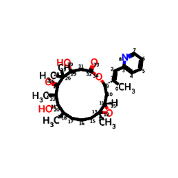 C/C(=C\c1ccccn1)[C@@H]1C[C@@H]2O[C@]2(C)CCCC(C)[C@H](O)C(C)C(=O)C(C)(C)C(O)CC(=O)O1